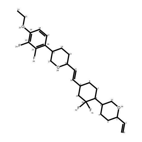 C=CC1CCC(C2CCC(/C=C/C3CCC(c4ccc(OCC)c(F)c4F)CO3)CC2(F)F)CO1